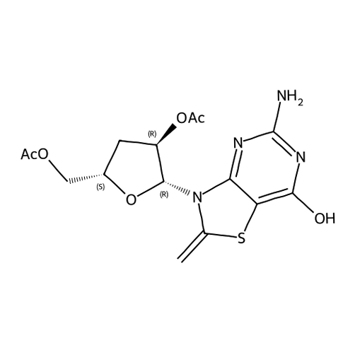 C=C1Sc2c(O)nc(N)nc2N1[C@@H]1O[C@H](COC(C)=O)C[C@H]1OC(C)=O